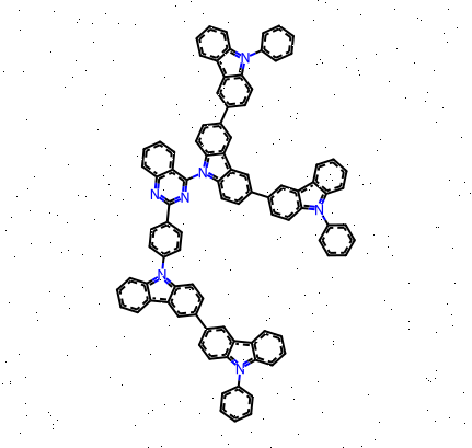 c1ccc(-n2c3ccccc3c3cc(-c4ccc5c(c4)c4ccccc4n5-c4ccc(-c5nc(-n6c7ccc(-c8ccc9c(c8)c8ccccc8n9-c8ccccc8)cc7c7cc(-c8ccc9c(c8)c8ccccc8n9-c8ccccc8)ccc76)c6ccccc6n5)cc4)ccc32)cc1